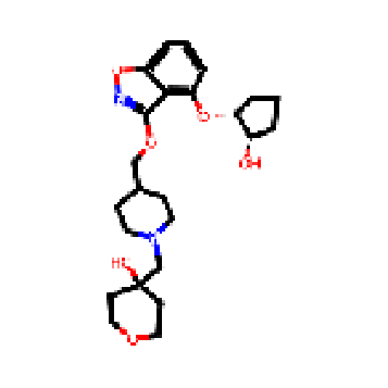 O[C@H]1CCC[C@H]1Oc1cccc2onc(OCC3CCN(CC4(O)CCOCC4)CC3)c12